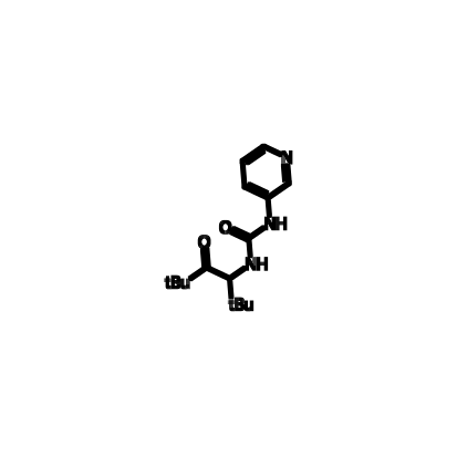 CC(C)(C)C(=O)C(NC(=O)Nc1cccnc1)C(C)(C)C